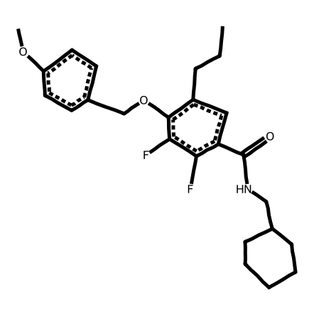 CCCc1cc(C(=O)NCC2CCCCC2)c(F)c(F)c1OCc1ccc(OC)cc1